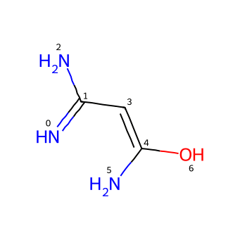 N=C(N)/C=C(\N)O